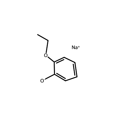 CCOc1ccccc1[O-].[Na+]